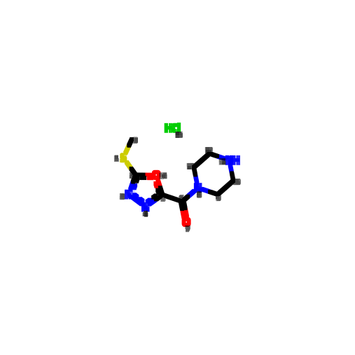 CSc1nnc(C(=O)N2CCNCC2)o1.Cl